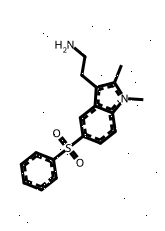 Cc1c(CCN)c2cc(S(=O)(=O)c3ccccc3)ccc2n1C